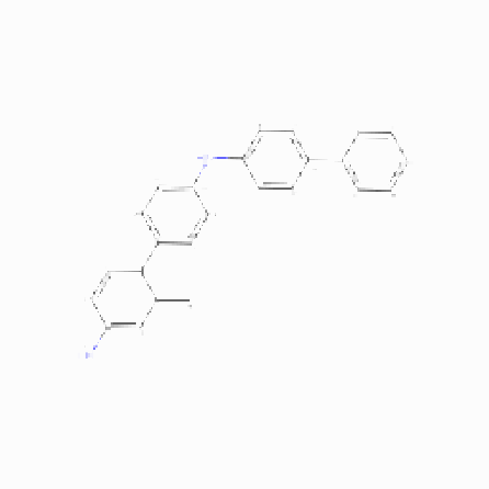 CC1C=C(N)C=CC1c1ccc(Nc2ccc(-c3ccccc3)cc2)cc1